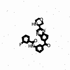 O=C(Nc1cccc(C(=O)c2ccc3nc(C4COCCN4)cnc3c2)c1)c1cccc(F)c1